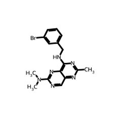 Cc1nc(NCc2cccc(Br)c2)c2nc(N(C)C)ncc2n1